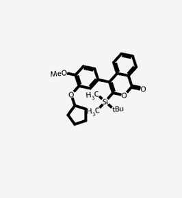 COc1ccc(-c2c([Si](C)(C)C(C)(C)C)oc(=O)c3ccccc23)cc1OC1CCCC1